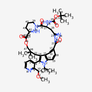 CCn1c(-c2cccnc2[C@H](C)OC)c2c3cc(ccc31)-c1nc(no1)C[C@H](NC(=O)OC(C)(C)C)C(=O)N1CCC[C@H](N1)C(=O)OCC(C)(C)C2